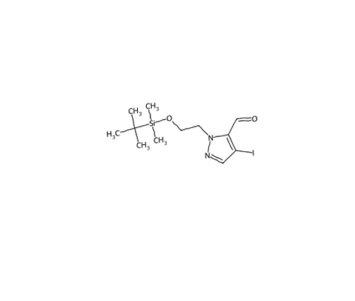 CC(C)(C)[Si](C)(C)OCCn1ncc(I)c1C=O